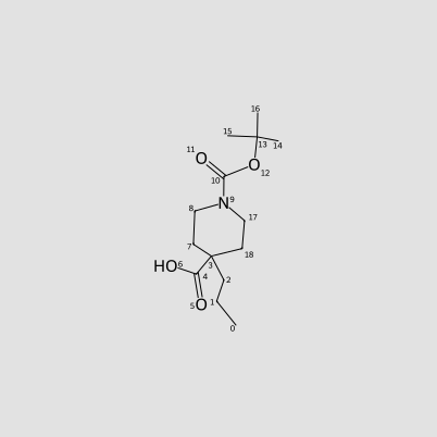 CCCC1(C(=O)O)CCN(C(=O)OC(C)(C)C)CC1